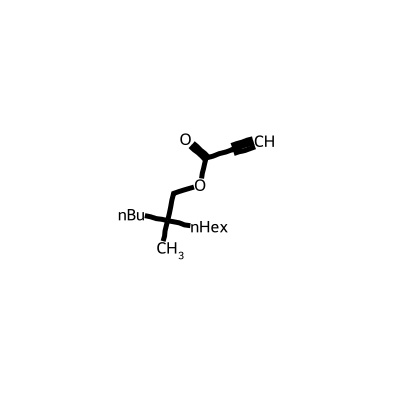 C#CC(=O)OCC(C)(CCCC)CCCCCC